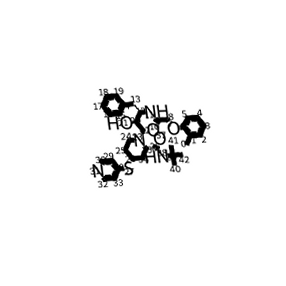 Cc1ccccc1OCC(=O)N[C@@H](Cc1ccccc1)[C@H](O)CN1CC[C@@H](Sc2ccncc2)C[C@H]1C(=O)NC(C)(C)C